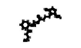 C=C1C=CC(=O)N1CCCC(=O)OCNC1CCCC[C@H]1NCCC(C)=O